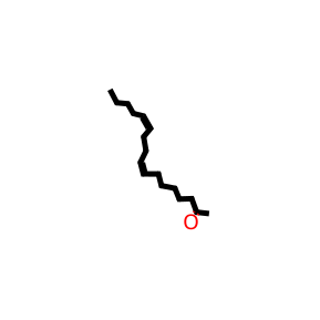 CCCC/C=C\CC/C=C\CCCCCC(C)=O